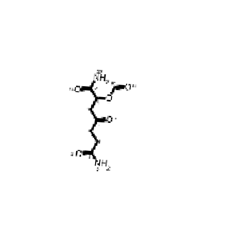 NC(=O)CCC(=O)CC(OC=O)C(N)=O